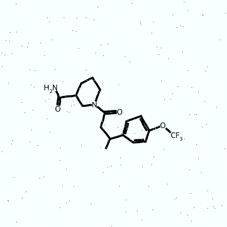 CC(CC(=O)N1CCCC(C(N)=O)C1)c1ccc(OC(F)(F)F)cc1